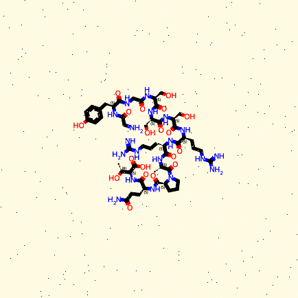 C[C@H](NC(=O)[C@H](CCCNC(=N)N)NC(=O)[C@H](CCCNC(=N)N)NC(=O)[C@H](CO)NC(=O)[C@H](CO)NC(=O)[C@H](CO)NC(=O)CNC(=O)[C@H](Cc1ccc(O)cc1)NC(=O)CN)C(=O)N1CCC[C@H]1C(=O)N[C@@H](CCC(N)=O)C(=O)N[C@H](C(=O)O)[C@@H](C)O